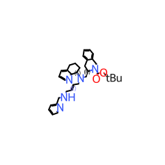 CC(C)(C)OC(=O)N1Cc2ccccc2C[C@@H]1CN(C/C=C/CNCc1ccccn1)[C@H]1CCCc2cccnc21